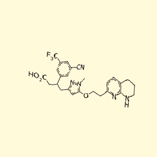 Cn1nc(CC(CC(=O)O)c2cc(C#N)cc(C(F)(F)F)c2)cc1OCCc1ccc2c(n1)NCCC2